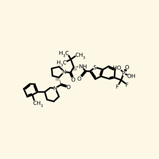 Cc1ccccc1C1CCCN(C(=O)[C@@H]2CCCN2C(=O)[C@@H](NC(=O)c2cc3cc(C(F)(F)P(=O)(O)O)ccc3s2)C(C)(C)C)C1